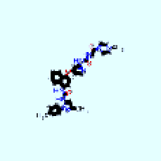 Cc1ccc(-n2nc(C)cc2NC(=O)Nc2ccc(Oc3ccnc(NC(=O)NCC(=O)N4CCN(C)CC4)c3)c3ccccc23)cc1